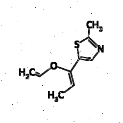 C=CO/C(=C\C)c1cnc(C)s1